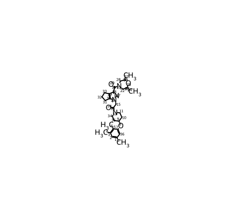 Cc1cc(C)c(C)c(OC2CCN(C(=O)Cn3nc(C(=O)N4C[C@@H](C)O[C@@H](C)C4)c4c3CCC4)CC2)c1